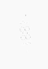 CCCCCCCCC(C)CCN1C(=S)c2ccc3c4ccc5c6c(ccc(c7ccc(c2c37)C1=S)c64)C(=S)N(CCC(C)C)C5=S